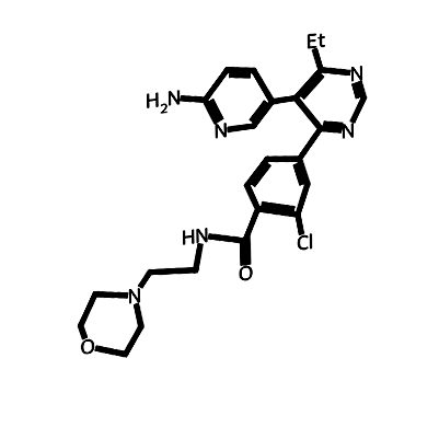 CCc1ncnc(-c2ccc(C(=O)NCCN3CCOCC3)c(Cl)c2)c1-c1ccc(N)nc1